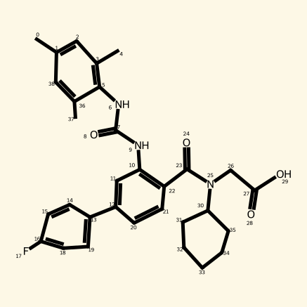 Cc1cc(C)c(NC(=O)Nc2cc(-c3ccc(F)cc3)ccc2C(=O)N(CC(=O)O)C2CCCCC2)c(C)c1